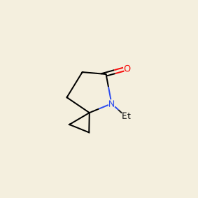 CCN1C(=O)CCC12CC2